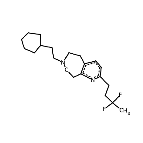 CC(F)(F)CCc1ccc2c(n1)CCN(CCC1CCCCC1)CC2